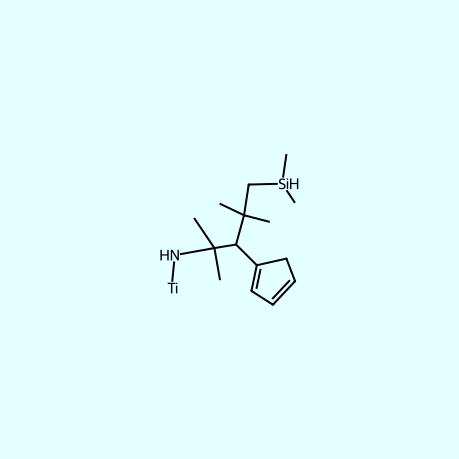 C[SiH](C)CC(C)(C)C(C1=CC=CC1)C(C)(C)[NH][Ti]